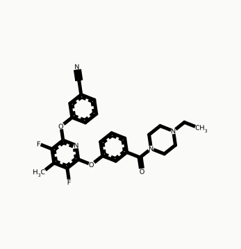 CCN1CCN(C(=O)c2cccc(Oc3nc(Oc4cccc(C#N)c4)c(F)c(C)c3F)c2)CC1